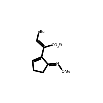 CCCCC=C(C(=O)OCC)C1=CCCC1=NOC